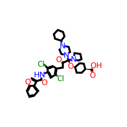 O=C(Nc1cc(Cl)c(CC(=O)C(O[C@H]2CC[C@H](C(=O)O)CC2)(N2CCCC2)N2CCN(C3CCCCC3)CC2)cc1Cl)c1coc2ccccc12